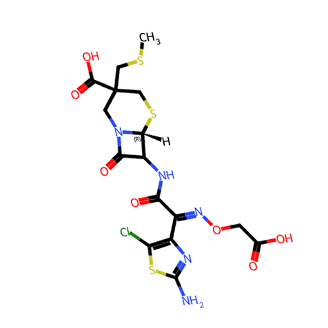 CSCC1(C(=O)O)CS[C@@H]2C(NC(=O)C(=NOCC(=O)O)c3nc(N)sc3Cl)C(=O)N2C1